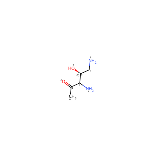 CC(=O)C(N)[C@@H](O)CN